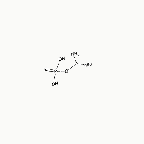 CCCCC(N)OP(O)(O)=S